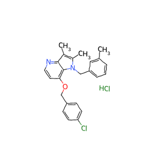 Cc1cccc(Cn2c(C)c(C)c3nccc(OCc4ccc(Cl)cc4)c32)c1.Cl